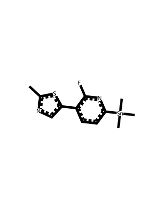 Cc1ncc(-c2cc[c]([Sn]([CH3])([CH3])[CH3])nc2F)s1